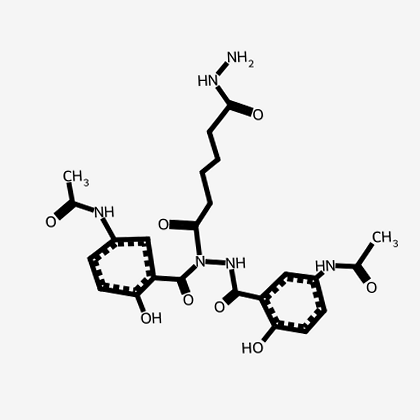 CC(=O)Nc1ccc(O)c(C(=O)NN(C(=O)CCCCC(=O)NN)C(=O)c2cc(NC(C)=O)ccc2O)c1